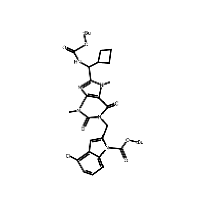 Cn1c(C(NC(=O)OC(C)(C)C)C2CCC2)nc2c1c(=O)n(Cc1cc3c(Cl)cccc3n1C(=O)OC(C)(C)C)c(=O)n2C